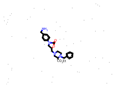 CCOC(=O)C1CN(CC2CN(c3ccc(CN)cc3)C(=O)O2)CCN1Cc1ccccc1